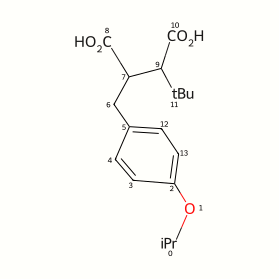 CC(C)Oc1ccc(CC(C(=O)O)C(C(=O)O)C(C)(C)C)cc1